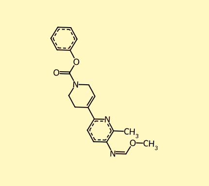 CO/C=N\c1ccc(C2=CCN(C(=O)Oc3ccccc3)CC2)nc1C